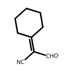 N#CC([C]=O)=C1CCCCC1